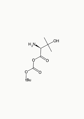 CC(C)(C)OC(=O)OC(=O)[C@@H](N)C(C)(C)O